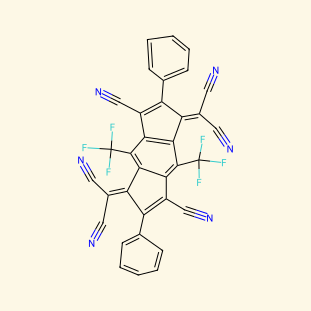 N#CC(C#N)=C1C(c2ccccc2)=C(C#N)c2c1c(C(F)(F)F)c1c(c2C(F)(F)F)C(=C(C#N)C#N)C(c2ccccc2)=C1C#N